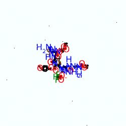 COc1ccc(COC(=O)C2=C(C[n+]3cc(NC(=O)NCCNC(=O)OC(C)(C)C)c(N)n3C)CS[C@@H]3[C@H](NC(=O)/C(=N\OC(C)(C)C(=O)OC(C)(C)C)c4nsc(N)n4)C(=O)N23)cc1.O=C([O-])C(F)(F)F